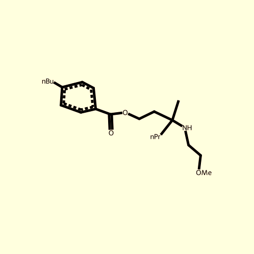 CCCCc1ccc(C(=O)OCCC(C)(CCC)NCCOC)cc1